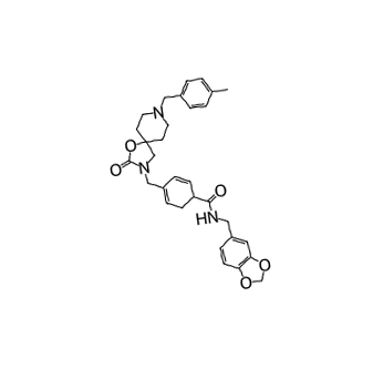 Cc1ccc(CN2CCC3(CC2)CN(CC2=CCC(C(=O)NCc4ccc5c(c4)OCO5)C=C2)C(=O)O3)cc1